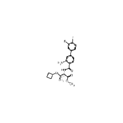 COC(=O)[C@@H](NC(=O)c1ccc(-c2ccc(F)c(F)c2)cc1N)[C@@H](C)OC1CCC1